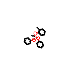 Cc1ccccc1O[Si](C)(Oc1ccccc1)Oc1ccccc1